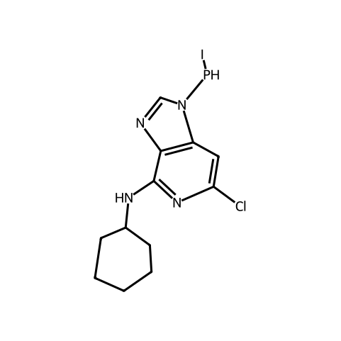 Clc1cc2c(ncn2PI)c(NC2CCCCC2)n1